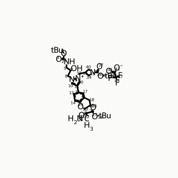 CC(C)(C)OC(=O)NCC(O)Cn1cc(-c2ccc3c(c2)CC[C@H](C(C)(ON)C(=O)OC(C)(C)C)O3)c[n+]1CC1CN(C(=O)OC(C)(C)C)C1.O=C([O-])C(F)(F)F